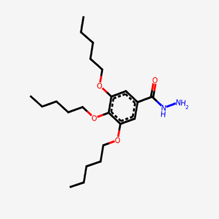 CCCCCOc1cc(C(=O)NN)cc(OCCCCC)c1OCCCCC